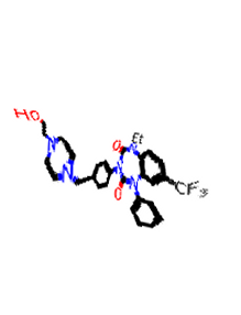 CCN1C(=O)N(C2=CC=C(CN3CCN(CCO)CC3)CC2)C(=O)N(C2=CCCC=C2)c2cc(C(F)(F)F)ccc21